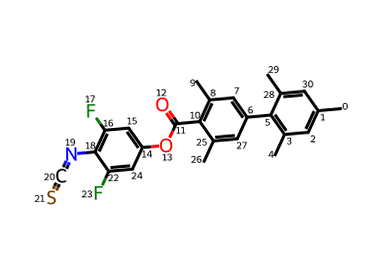 Cc1cc(C)c(-c2cc(C)c(C(=O)Oc3cc(F)c(N=C=S)c(F)c3)c(C)c2)c(C)c1